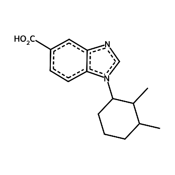 CC1CCCC(n2cnc3cc(C(=O)O)ccc32)C1C